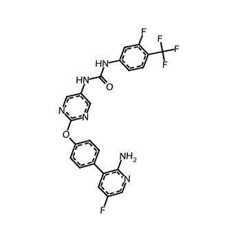 Nc1ncc(F)cc1-c1ccc(Oc2ncc(NC(=O)Nc3ccc(C(F)(F)F)c(F)c3)cn2)cc1